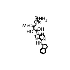 CO[C@H](COS(N)(=O)=O)[C@@H](O)[C@@H](O)n1cnc2c(N[C@H]3CCc4ccccc43)ncnc21